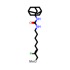 COCC(F)=CCCCCCNC(=O)NC12CC3CC(CC(C3)C1)C2